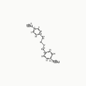 CC(C)(C)c1ccc([I+]CC[I+]c2ccc(C(C)(C)C)cc2)cc1